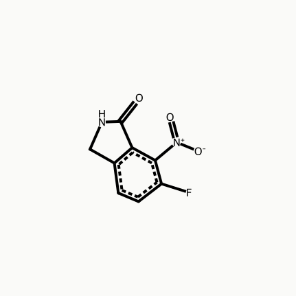 O=C1NCc2ccc(F)c([N+](=O)[O-])c21